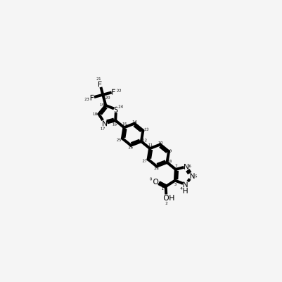 O=C(O)c1[nH]nnc1-c1ccc(-c2ccc(-c3ncc(C(F)(F)F)s3)cc2)cc1